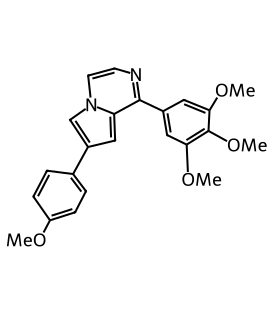 COc1ccc(-c2cc3c(-c4cc(OC)c(OC)c(OC)c4)nccn3c2)cc1